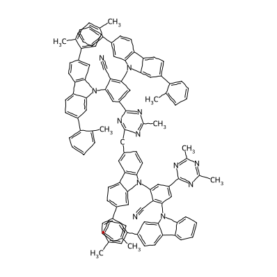 Cc1cccc(-c2ccc3c4ccccc4n(-c4cc(-c5nc(C)nc(C)n5)cc(-n5c6ccc(Cc7nc(C)nc(-c8cc(-n9c%10cc(-c%11ccccc%11C)ccc%10c%10ccc(-c%11ccccc%11C)cc%109)c(C#N)c(-n9c%10cc(-c%11ccccc%11C)ccc%10c%10ccc(-c%11ccccc%11C)cc%109)c8)n7)cc6c6ccc(-c7cccc(C)c7)cc65)c4C#N)c3c2)c1